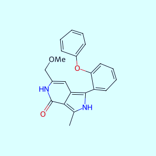 COCc1cc2c(-c3ccccc3Oc3ccccc3)[nH]c(C)c2c(=O)[nH]1